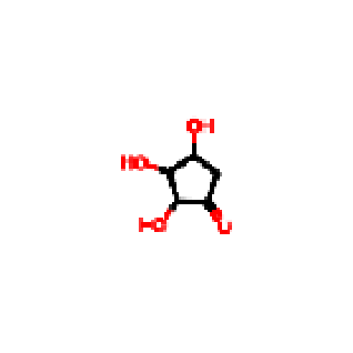 O=C1CC(O)C(O)C1O